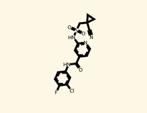 N#CC1(CS(=O)(=O)Nc2cc(C(=O)Nc3ccc(F)c(Cl)c3)ccn2)CC1